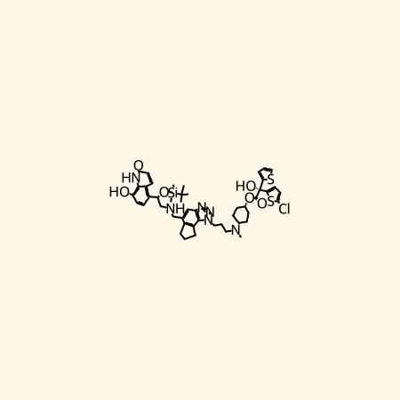 CN(CCCn1nnc2cc(CNCC(O[Si](C)(C)C(C)(C)C)c3ccc(O)c4[nH]c(=O)ccc34)c3c(c21)CCC3)[C@H]1CC[C@H](OC(=O)[C@@](O)(c2cccs2)c2ccc(Cl)s2)CC1